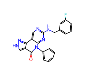 O=c1c2c[nH]nc2c2cnc(NCc3cccc(F)c3)nc2n1-c1ccccc1